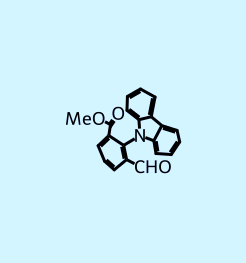 COC(=O)c1cccc(C=O)c1-n1c2ccccc2c2ccccc21